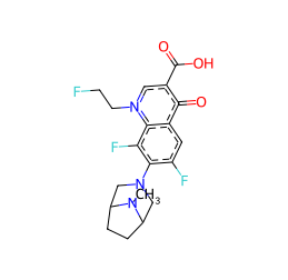 CN1C2CCC1CN(c1c(F)cc3c(=O)c(C(=O)O)cn(CCF)c3c1F)C2